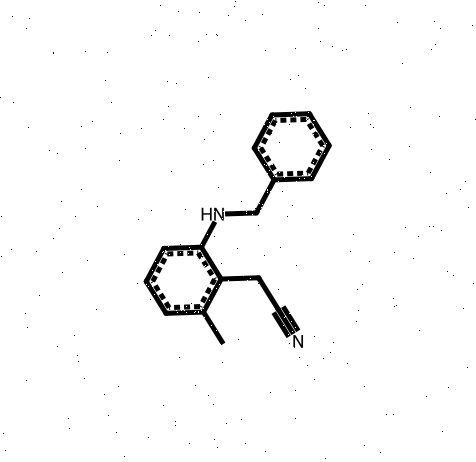 Cc1cccc(NCc2ccccc2)c1CC#N